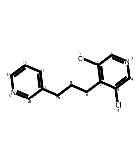 Clc1cncc(Cl)c1C[CH]Cc1cccnc1